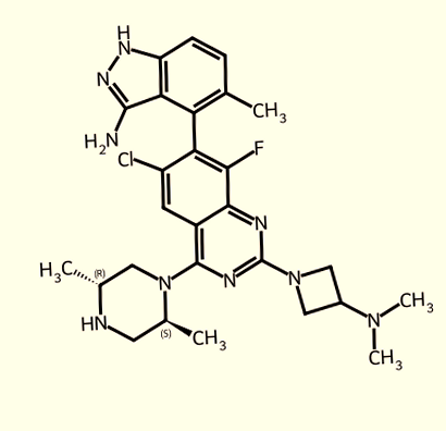 Cc1ccc2[nH]nc(N)c2c1-c1c(Cl)cc2c(N3C[C@@H](C)NC[C@@H]3C)nc(N3CC(N(C)C)C3)nc2c1F